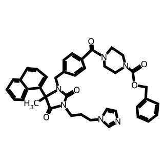 CC1(c2cccc3ccccc23)C(=O)N(CCCn2ccnc2)C(=O)N1Cc1ccc(C(=O)N2CCN(C(=O)OCc3ccccc3)CC2)cc1